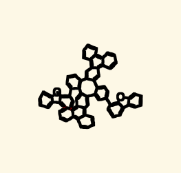 c1cc2c(c(-c3cccc4c3oc3ccccc34)c1)-c1cc3c4ccccc4c4ccccc4c3cc1-c1cc(-c3cccc4c3oc3ccccc34)ccc1-c1cc3c4ccccc4c4ccccc4c3cc1-2